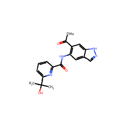 COC(=O)c1cc2[nH]ncc2cc1NC(=O)c1cccc(C(C)(C)O)n1